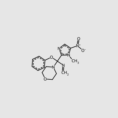 C=NC(Oc1ccccc1)(c1ncc([N+](=O)[O-])n1C)N1CCOCC1